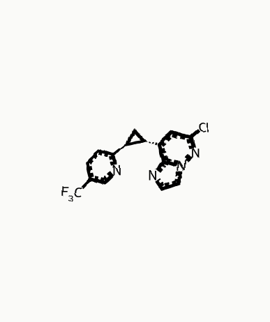 FC(F)(F)c1ccc([C@H]2C[C@@H]2c2cc(Cl)nn3ccnc23)nc1